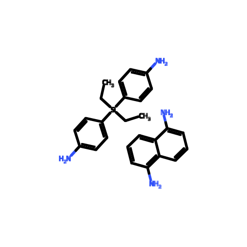 CC[Si](CC)(c1ccc(N)cc1)c1ccc(N)cc1.Nc1cccc2c(N)cccc12